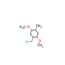 [CH2]c1cc(OC)c(CCl)cc1OC